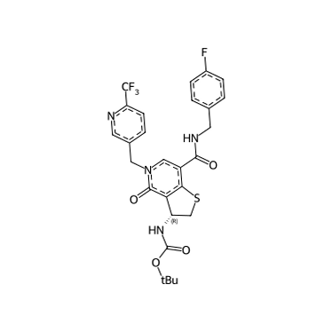 CC(C)(C)OC(=O)N[C@H]1CSc2c(C(=O)NCc3ccc(F)cc3)cn(Cc3ccc(C(F)(F)F)nc3)c(=O)c21